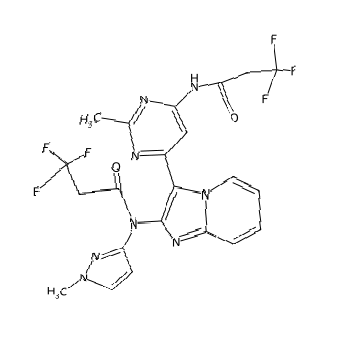 Cc1nc(NC(=O)CC(F)(F)F)cc(-c2c(N(C(=O)CC(F)(F)F)c3ccn(C)n3)nc3ccccn23)n1